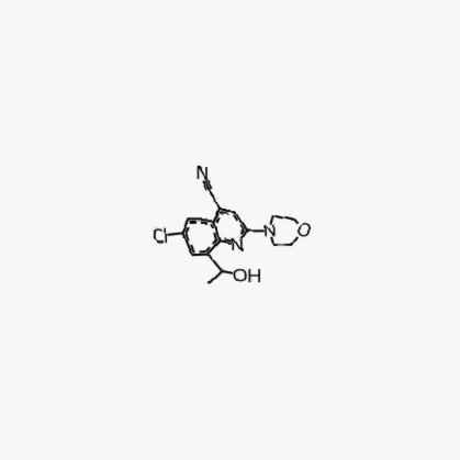 CC(O)c1cc(Cl)cc2c(C#N)cc(N3CCOCC3)nc12